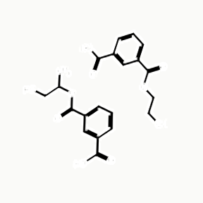 CC(CO)OC(=O)c1cccc(C(=O)O)c1.O=C(O)c1cccc(C(=O)OCCO)c1